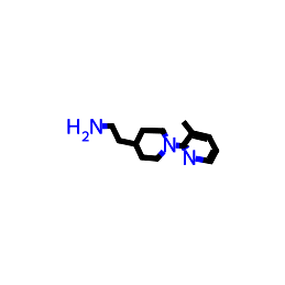 Cc1cccnc1N1CCC(CCN)CC1